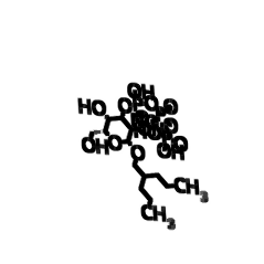 CCCC(CCC)CO[C@H]1O[C@H](CO)[C@@H](O)[C@@H](OP(=O)(O)OP(=O)(O)OP(=O)(O)O)[C@H]1O